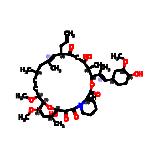 C=CC[C@@H]1/C=C(\C)C[C@H](C)CC[C@H](OC)[C@H]2O[C@@](O)(C(=O)C(=O)N3CCCC[C@H]3C(=O)O[C@H](/C(C)=C/[C@@H]3CC[C@@H](O)[C@H](OC)C3)[C@H](C)C(O)CC1=O)[C@H](C)C[C@@H]2OC